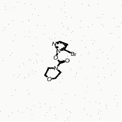 O=C(On1nccc1Br)N1CCOCC1